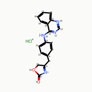 Cl.O=C1N=C(Cc2ccc(Nc3ncnc4ccccc34)cc2)CO1